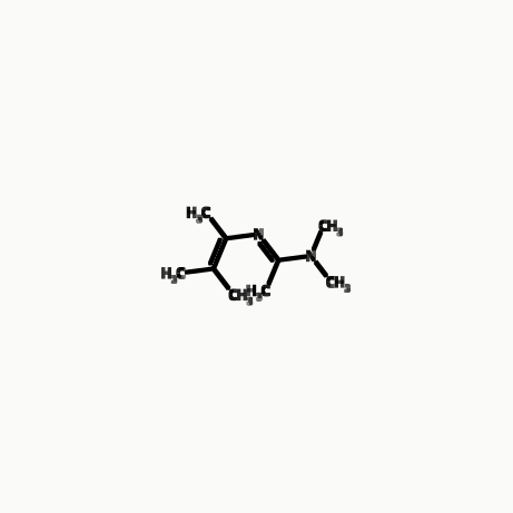 CC(C)=C(C)/N=C(\C)N(C)C